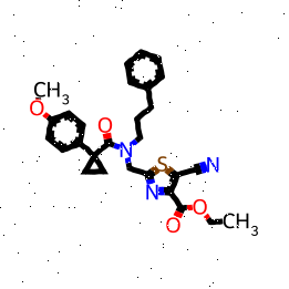 CCOC(=O)c1nc(CN(CCCc2ccccc2)C(=O)C2(c3ccc(OC)cc3)CC2)sc1C#N